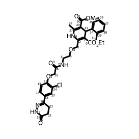 CCOC(=O)C1=C(COCCNC(=O)COc2ccc(C3=NNC(=O)CC3)cc2Cl)NC(C)=C(C(=O)OC)C1c1ccccc1C